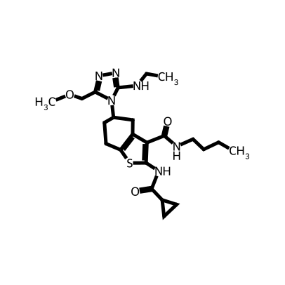 CCCCNC(=O)c1c(NC(=O)C2CC2)sc2c1CC(n1c(COC)nnc1NCC)CC2